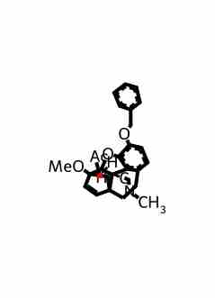 COC12C=CC3(C[C@H]1C(C)=O)C1Cc4ccc(OCc5ccccc5)c5c4[C@@]3(CCN1C)[C@@H]2O5